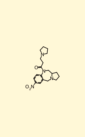 O=C(CCN1CCCC1)N1CC2CCCN2Cc2cc([N+](=O)[O-])ccc21